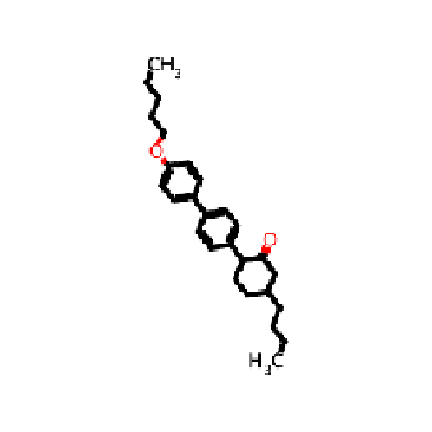 CCCCCOc1ccc(-c2ccc(C3CCC(CCCC)CC3=O)cc2)cc1